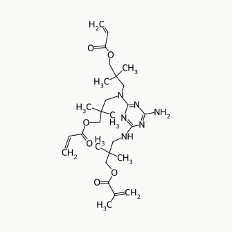 C=CC(=O)OCC(C)(C)CN(CC(C)(C)COC(=O)C=C)c1nc(N)nc(NCC(C)(C)COC(=O)C(=C)C)n1